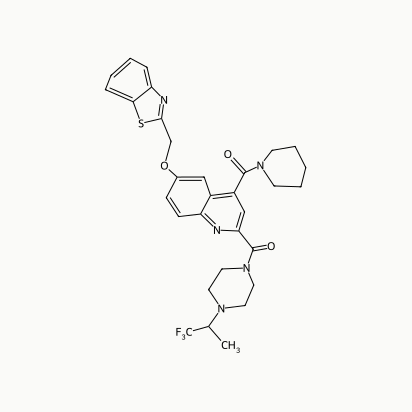 CC(N1CCN(C(=O)c2cc(C(=O)N3CCCCC3)c3cc(OCc4nc5ccccc5s4)ccc3n2)CC1)C(F)(F)F